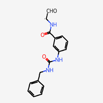 O=C[CH]NC(=O)c1cccc(NC(=O)NCc2ccccc2)c1